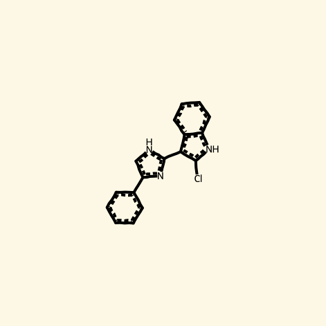 Clc1[nH]c2ccccc2c1-c1nc(-c2ccccc2)c[nH]1